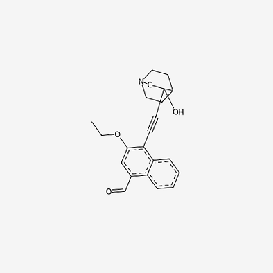 CCOc1cc(C=O)c2ccccc2c1C#CC1(O)CN2CCC1CC2